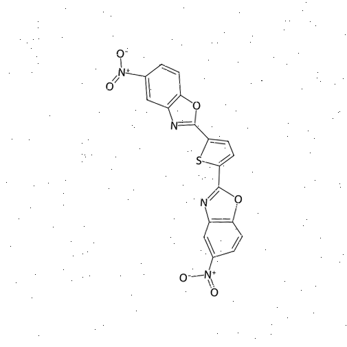 O=[N+]([O-])c1ccc2oc(-c3ccc(-c4nc5cc([N+](=O)[O-])ccc5o4)s3)nc2c1